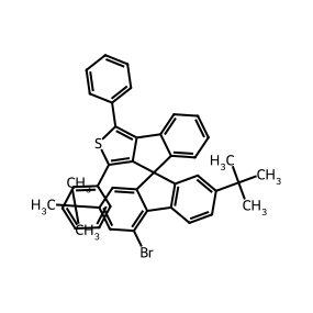 CC(C)(C)c1ccc2c(c1)C1(c3ccccc3-c3c(-c4ccccc4)sc(-c4ccccc4)c31)c1cc(C(C)(C)C)cc(Br)c1-2